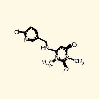 Cn1c(NCc2ccc(Cl)nc2)cc(=O)n(C)c1=O